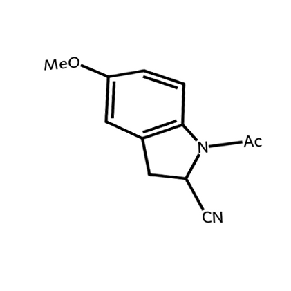 COc1ccc2c(c1)CC(C#N)N2C(C)=O